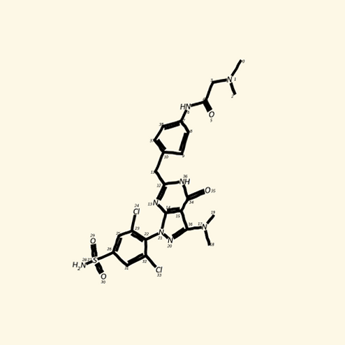 CN(C)CC(=O)Nc1ccc(Cc2nc3c(c(N(C)C)nn3-c3c(Cl)cc(S(N)(=O)=O)cc3Cl)c(=O)[nH]2)cc1